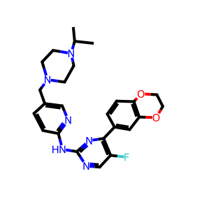 CC(C)N1CCN(Cc2ccc(Nc3ncc(F)c(-c4ccc5c(c4)OCCO5)n3)nc2)CC1